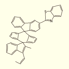 C/C=C\C1=C(C)C2(c3ccccc31)c1ccccc1C1(c3ccccc3-c3cc(-c4nc5ccccc5s4)ccc31)c1ccccc12